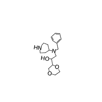 OC(CN(Cc1ccccc1)C1CCNCC1)C1COCCO1